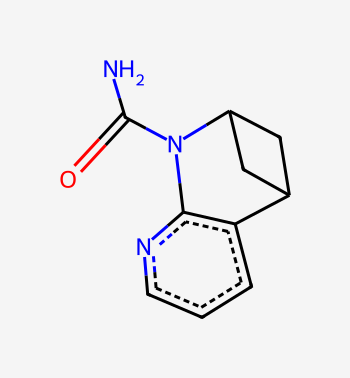 NC(=O)N1c2ncccc2C2CC1C2